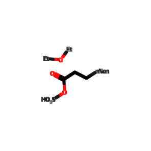 CCCCCCCCCCCC(=O)OS(=O)(=O)O.CCOCC